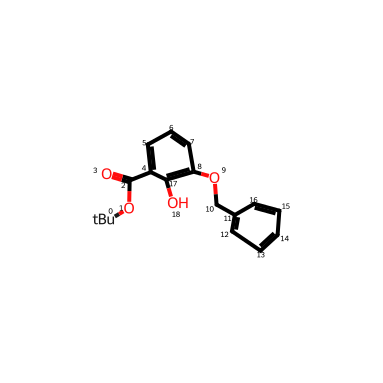 CC(C)(C)OC(=O)c1cccc(OCc2ccccc2)c1O